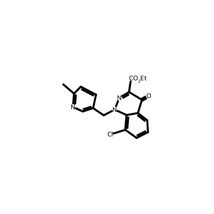 CCOC(=O)c1nn(Cc2ccc(C)nc2)c2c(Cl)cccc2c1=O